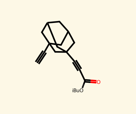 C#CC12CC3CC(C1)CC(C#CC(=O)OCC(C)C)(C3)C2